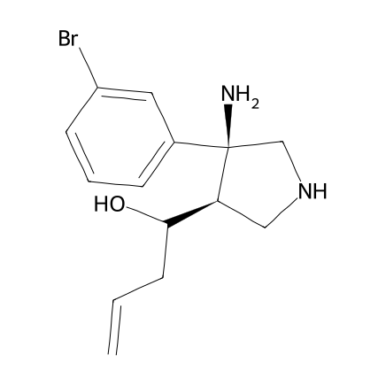 C=CCC(O)[C@@H]1CNC[C@@]1(N)c1cccc(Br)c1